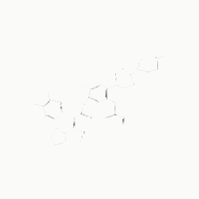 C=CC(=O)Nc1cc(NC(=N)/C=C(\NN)N2OCC[C@@H]2c2ccc(F)c(Cl)c2F)c(OC)cc1N1CCC(N2CCN(CC)CC2)CC1